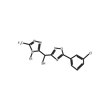 CCn1c(C(S)c2noc(-c3cccc(Cl)c3)n2)nnc1C(F)(F)F